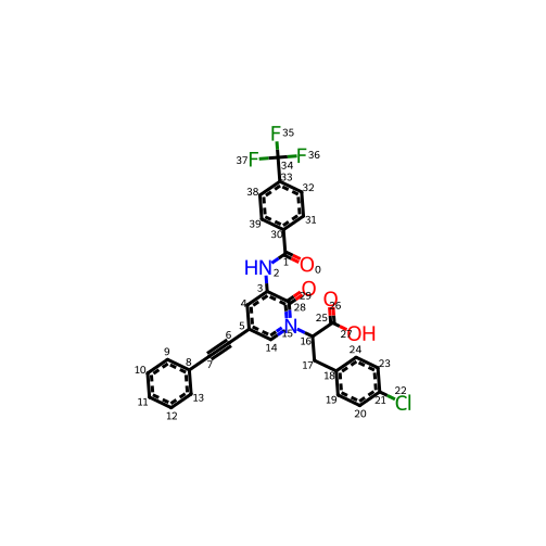 O=C(Nc1cc(C#Cc2ccccc2)cn(C(Cc2ccc(Cl)cc2)C(=O)O)c1=O)c1ccc(C(F)(F)F)cc1